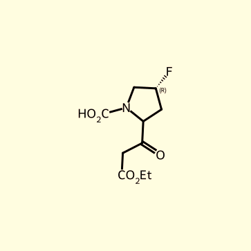 CCOC(=O)CC(=O)C1C[C@@H](F)CN1C(=O)O